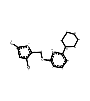 CC(=O)c1cc(Cl)c(COc2cccc(C3CCCCC3)n2)s1